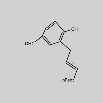 CCCCC/C=C/Cc1cc(C=O)ccc1O